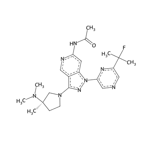 CC(=O)Nc1cc2c(cn1)c(N1CC[C@@](C)(N(C)C)C1)nn2-c1cncc(C(C)(C)F)n1